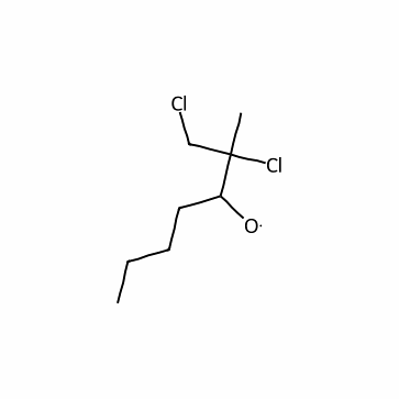 CCCCC([O])C(C)(Cl)CCl